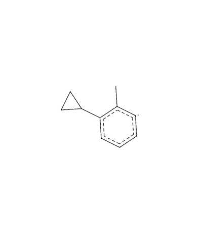 Cc1[c]cccc1C1CC1